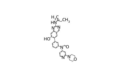 CC[C@H](C)Nc1ncc2cc(-c3cccc(N(C=O)c4ccnc(N5CCOCC5)c4)c3)c(O)cc2n1